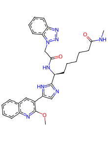 CNC(=O)CCCCC[C@H](NC(=O)Cn1nnc2ccccc21)c1ncc(-c2cc3ccccc3nc2OC)[nH]1